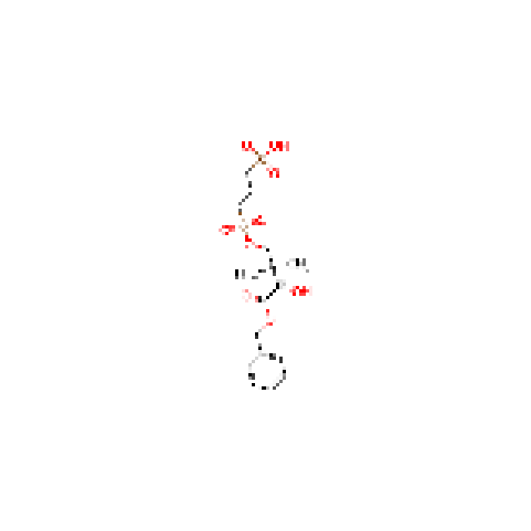 CC(C)(COS(=O)(=O)CCCS(=O)(=O)O)[C@H](O)C(=O)OCc1ccccc1